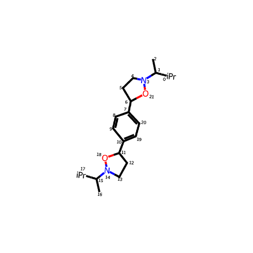 CC(C)C(C)N1CCC(c2ccc(C3CCN(C(C)C(C)C)O3)cc2)O1